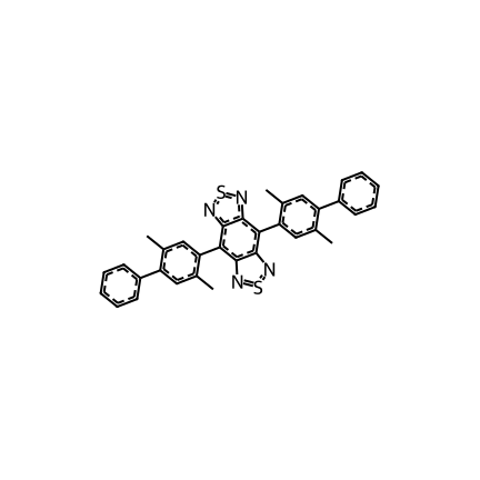 Cc1cc(-c2c3c(c(-c4cc(C)c(-c5ccccc5)cc4C)c4nsnc24)N=S=N3)c(C)cc1-c1ccccc1